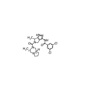 CC1c2[nH]nc(NC(=O)c3cc(Cl)cc(Cl)c3)c2CN1C(=O)N1C[C@@H]2CCCN2C[C@@H]1C